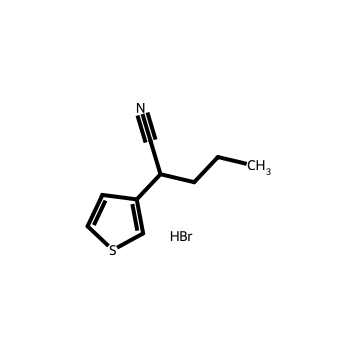 Br.CCCC(C#N)c1ccsc1